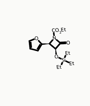 CCOC(=O)N1C(=O)[C@@H](O[Si](CC)(CC)CC)[C@H]1c1ccco1